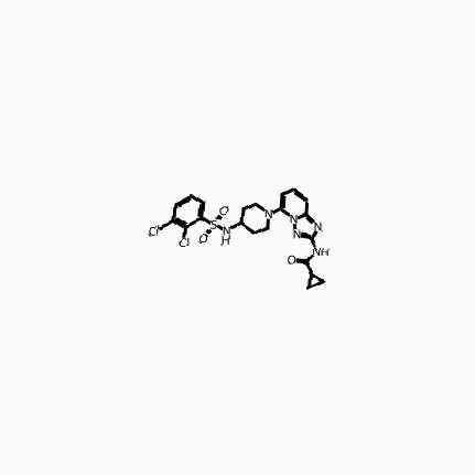 O=C(Nc1nc2cccc(N3CCC(NS(=O)(=O)c4cccc(Cl)c4Cl)CC3)n2n1)C1CC1